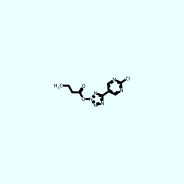 CCCC(=O)On1nnc(-c2cnc(Cl)nc2)n1